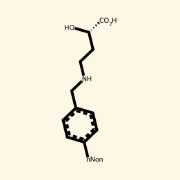 CCCCCCCCCc1ccc(CNCC[C@H](O)C(=O)O)cc1